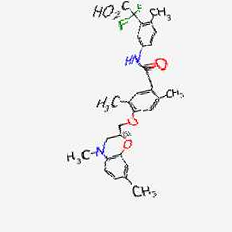 Cc1ccc2c(c1)O[C@H](COc1cc(C)c(C(=O)Nc3ccc(C)c(C(F)(F)C(=O)O)c3)cc1C)CN2C